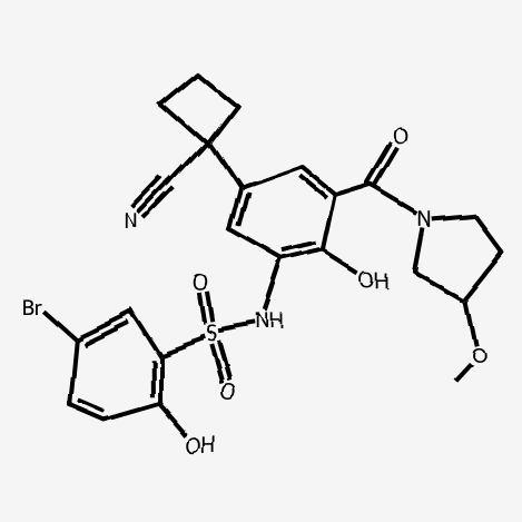 COC1CCN(C(=O)c2cc(C3(C#N)CCC3)cc(NS(=O)(=O)c3cc(Br)ccc3O)c2O)C1